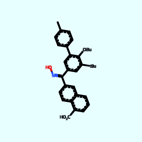 Cc1ccc(-c2cc(C(=NO)c3ccc4c(C(=O)O)cccc4c3)cc(C(C)(C)C)c2OCC(C)C)cc1